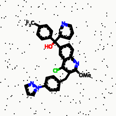 COc1nc2ccc(C(O)(c3ccc(C(F)(F)F)cc3)c3cccnc3)cc2c(Cl)c1Cc1ccc(-n2cccn2)cc1